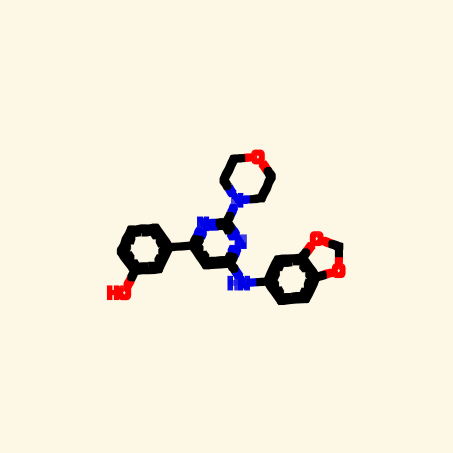 Oc1cccc(-c2cc(Nc3ccc4c(c3)OCO4)nc(N3CCOCC3)n2)c1